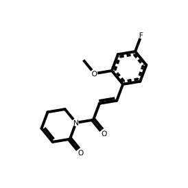 COc1cc(F)ccc1/C=C/C(=O)N1CCC=CC1=O